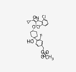 CS(=O)(=O)OCc1ccc([C@]2(O)CC[C@@H](OCc3c(-c4c(Cl)cccc4Cl)noc3C3CC3)CC2)c(F)c1